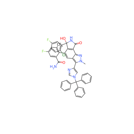 Cn1nc2c3c(c(-c4c(C(N)=O)cc(F)cc4C(F)(F)F)cc2c1-c1cn(C(c2ccccc2)(c2ccccc2)c2ccccc2)cn1)C(O)(c1cc(F)ccc1Cl)NC3=O